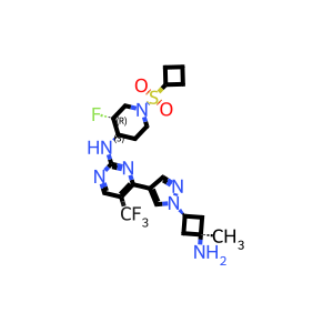 C[C@]1(N)C[C@@H](n2cc(-c3nc(N[C@H]4CCN(S(=O)(=O)C5CCC5)C[C@H]4F)ncc3C(F)(F)F)cn2)C1